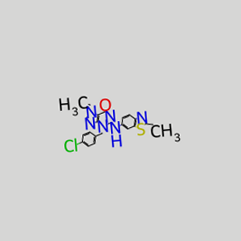 CCc1nc2ccc(Nc3nc(=O)c4c(ncn4CC)n3Cc3ccc(Cl)cc3)cc2s1